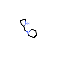 C1=CCN(CC2CCCN2)CC1